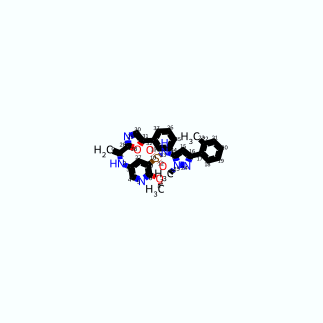 C=C(Nc1cnc(OC)c(S(=O)(=O)Nc2cc(-c3ccccc3C)nn2C)c1)c1ncc(-c2ccccc2)o1